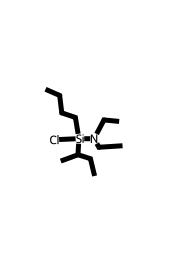 CCCC[Si](Cl)(C(C)CC)N(CC)CC